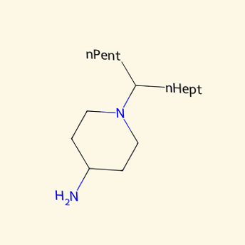 CCCCCCCC(CCCCC)N1CCC(N)CC1